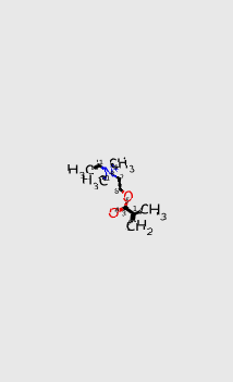 C=C(C)C(=O)OCC[N+](C)(C)CC